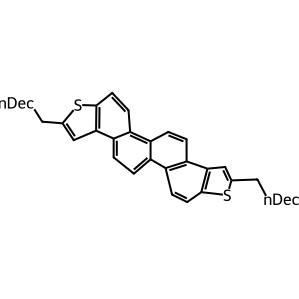 CCCCCCCCCCCc1cc2c(ccc3c2ccc2c4ccc5sc(CCCCCCCCCCC)cc5c4ccc32)s1